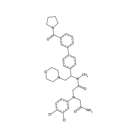 CN(C(=O)CN(CC(N)=O)c1ccc(Cl)c(Cl)c1)C(CN1CCOCC1)c1ccc(-c2cccc(C(=O)N3CCCC3)c2)cc1